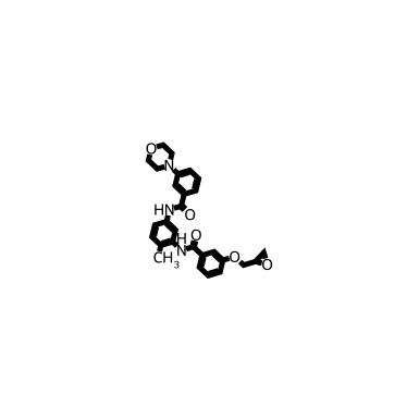 Cc1ccc(NC(=O)c2cccc(N3CCOCC3)c2)cc1NC(=O)c1cccc(OCC2CO2)c1